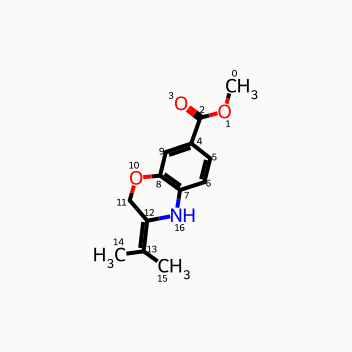 COC(=O)c1ccc2c(c1)OCC(=C(C)C)N2